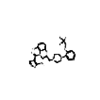 Cc1oncc1C(=O)N(CCCN1CCN(c2ccccc2OCC(F)(F)F)CC1)c1c(Cl)cccc1Cl